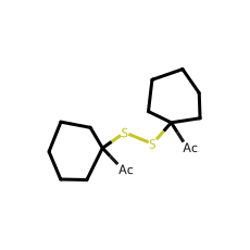 CC(=O)C1(SSC2(C(C)=O)CCCCC2)CCCCC1